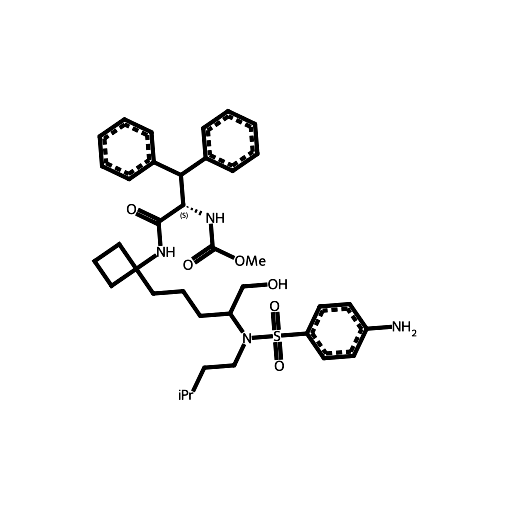 COC(=O)N[C@H](C(=O)NC1(CCCC(CO)N(CCC(C)C)S(=O)(=O)c2ccc(N)cc2)CCC1)C(c1ccccc1)c1ccccc1